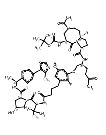 CC(=O)N1CC[C@H]2CC[C@@H](C(=O)N[C@@H](CCC(N)=O)COc3cc(C)cc(CCCC(=O)N[C@H](C(=O)N4C[C@H](O)C[C@H]4C(=O)N[C@@H](C)c4ccc(-c5scnc5C)cc4)C(C)(C)C)c3F)N2C(=O)[C@@H](NC(=O)OC(C)(C)C)C1